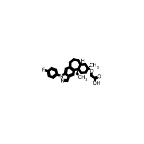 CC[C@]12CC[C@](C)(OCC(=O)O)C[C@@H]1CCCc1cc3c(cnn3-c3ccc(F)cc3)cc12